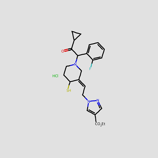 CCOC(=O)c1cnn(C/C=C2/CN(C(C(=O)C3CC3)c3ccccc3F)CCC2S)c1.Cl